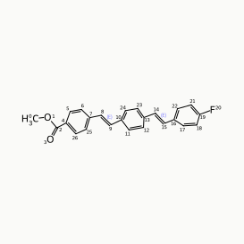 COC(=O)c1ccc(/C=C/c2ccc(/C=C/c3ccc(F)cc3)cc2)cc1